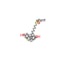 CCCCC[S+]([O-])SCCCCCCCCCC1c2ccc(O)cc2SCC1(C)c1ccc(O)cc1